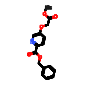 CC(C)(C)OC(=O)COc1ccc(C(=O)OCc2ccccc2)nc1